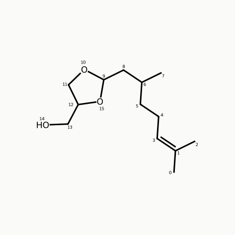 CC(C)=CCCC(C)CC1OCC(CO)O1